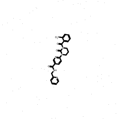 O=C(NCc1ccccn1)c1ccc(N2CCCN(C(=O)c3ccccc3[N+](=O)[O-])C2=O)nc1